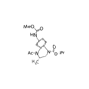 COC(=O)Nc1ccc2c(c1)N(C(C)=O)[C@@H](C)CN2C(=O)OC(C)C